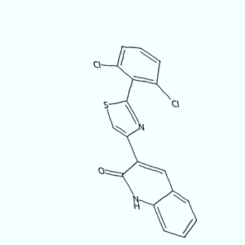 O=c1[nH]c2ccccc2cc1-c1csc(-c2c(Cl)cccc2Cl)n1